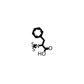 O=C(O)C(Cc1ccccc1)n1ss1